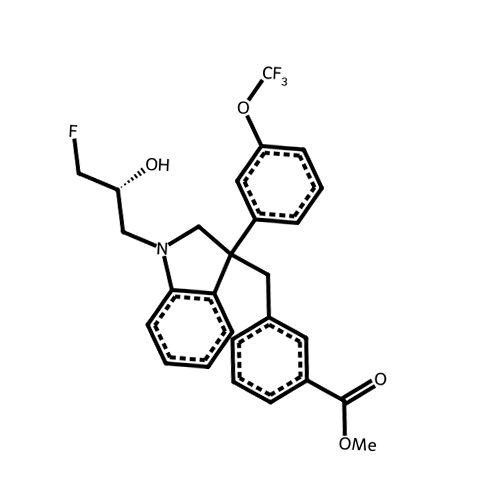 COC(=O)c1cccc(CC2(c3cccc(OC(F)(F)F)c3)CN(C[C@@H](O)CF)c3ccccc32)c1